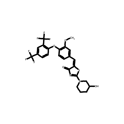 COc1cc(C=C2SC(N3CCCC(O)C3)=NC2=O)ccc1Oc1ccc(C(F)(F)F)cc1C(F)(F)F